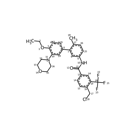 CCOc1nnc(-c2cc(NC(=O)c3ccc(CCl)c(C(F)(F)F)c3)ccc2C)cc1N1CCOCC1